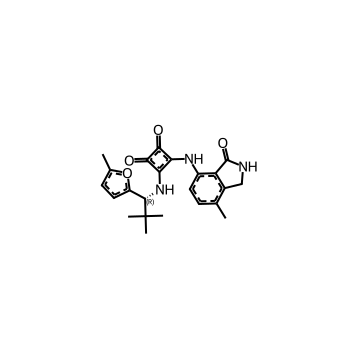 Cc1ccc([C@H](Nc2c(Nc3ccc(C)c4c3C(=O)NC4)c(=O)c2=O)C(C)(C)C)o1